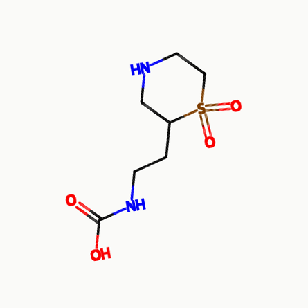 O=C(O)NCCC1CNCCS1(=O)=O